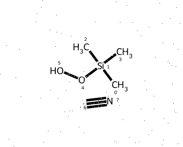 C[Si](C)(C)OO.[C]#N